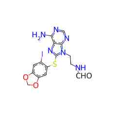 Nc1ncnc2c1nc(Sc1cc3c(cc1I)OCO3)n2CCNC=O